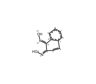 ON=C1C=Cc2ccccc2C1=NO